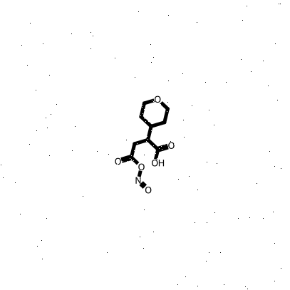 O=NOC(=O)CC(C(=O)O)C1CCOCC1